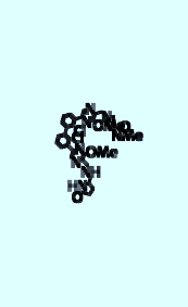 CNC(=O)C1CN(Cc2ncc(-c3cccc(-c4cccc(-c5cnc(CNCC6CCC(=O)N6)c(OC)n5)c4Cl)c3Cl)nc2OC)C1